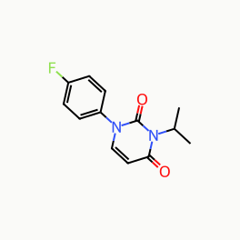 CC(C)n1c(=O)ccn(-c2ccc(F)cc2)c1=O